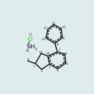 CC1Cc2cccc(-c3ccccc3)c2C1.[SiH3]Cl